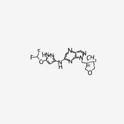 C[C@]1(Cn2ncc3ncc(Nc4cc(OC(F)F)[nH]n4)nc32)CCOC1